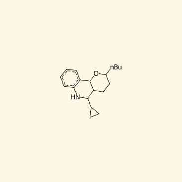 CCCCC1CCC2C(O1)c1ccccc1NC2C1CC1